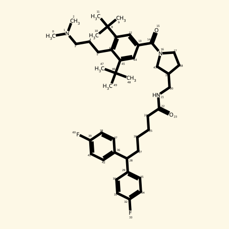 CN(C)CCCc1c(C(C)(C)C)cc(C(=O)N2CCC(CNC(=O)CCCCC(c3ccc(F)cc3)c3ccc(F)cc3)C2)cc1C(C)(C)C